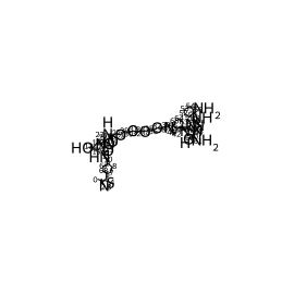 Cc1ncsc1-c1ccc(CNC(=O)[C@@H]2C[C@@H](O)CN2C(=O)[C@H](C)NC(=O)COCCOCCOCCOCCn2ccc3c(Nc4nc(N[C@@H]5CCCC[C@@H]5N)nnc4C(N)=O)cccc32)cc1